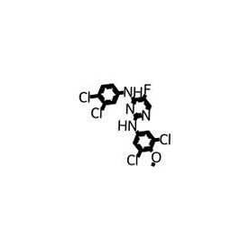 COc1c(Cl)cc(Nc2ncc(F)c(Nc3ccc(Cl)c(Cl)c3)n2)cc1Cl